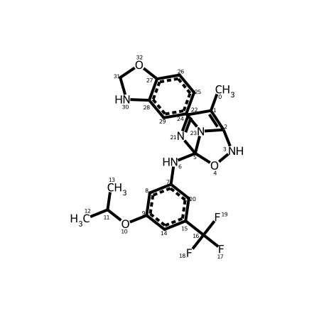 CC1=C2NOC(Nc3cc(OC(C)C)cc(C(F)(F)F)c3)(N=C1)N2c1ccc2c(c1)NCO2